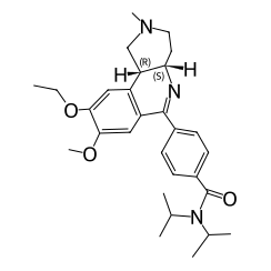 CCOc1cc2c(cc1OC)C(c1ccc(C(=O)N(C(C)C)C(C)C)cc1)=N[C@H]1CCN(C)C[C@@H]21